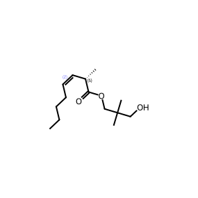 CCCC/C=C\[C@H](C)C(=O)OCC(C)(C)CO